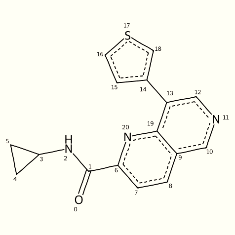 O=C(NC1CC1)c1ccc2cncc(-c3ccsc3)c2n1